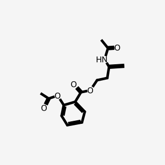 C=C(CCOC(=O)c1ccccc1OC(C)=O)NC(C)=O